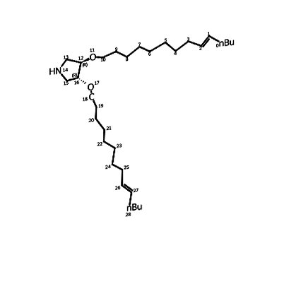 CCCCC=CCCCCCCCCO[C@@H]1CNC[C@H]1OCCCCCCCCC=CCCCC